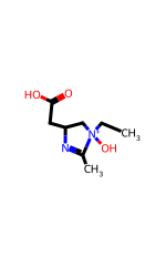 CC[N+]1(O)CC(CC(=O)O)N=C1C